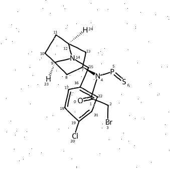 O=C(CBr)N(P=S)[C@H]1C[C@H]2CC[C@@H](C1)N2Cc1ccc(Cl)cc1